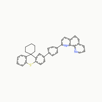 c1ccc2c(c1)Sc1ccc(-c3ccc(-c4ccc5ccc6cccnc6c5n4)cc3)cc1C21CCCCC1